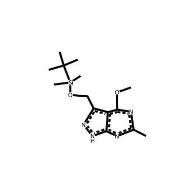 COc1nc(C)nc2[nH]nc(CO[Si](C)(C)C(C)(C)C)c12